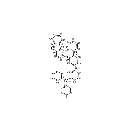 c1ccc(N(c2ccccc2)c2cccc(-c3ccc4c5ccccc5c5c(ccc6oc7ccccc7c65)c4c3)c2)cc1